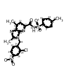 Cc1ccc(S(=O)(=O)NC(=O)c2cc(C)c3nc(C)n(Cc4ccc([N+](=O)[O-])cc4Cl)c3n2)cc1